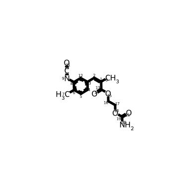 CC(=Cc1ccc(C)c(N=C=O)c1)C(=O)OCCOC(N)=O